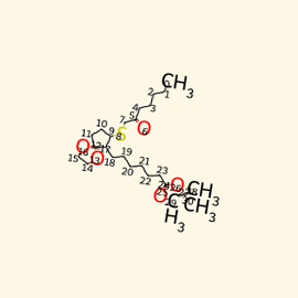 CCCCCC(=O)CSC1CCC2(OCCO2)C1CCCCCCC(=O)OC(C)(C)C